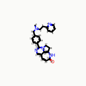 CN(CCc1ccccn1)Cc1ccc(C2=NC=C3C=CC(=O)NC4=C3N2CC4)cc1